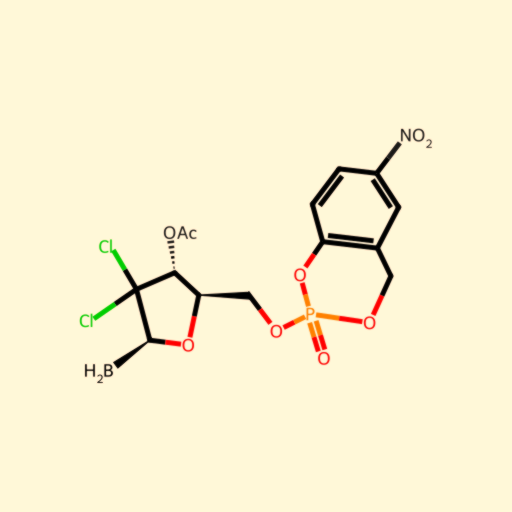 B[C@@H]1O[C@H](COP2(=O)OCc3cc([N+](=O)[O-])ccc3O2)[C@@H](OC(C)=O)C1(Cl)Cl